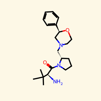 CC(C)(C)[C@H](N)C(=O)N1CCC[C@H]1CN1CCO[C@H](c2ccccc2)C1